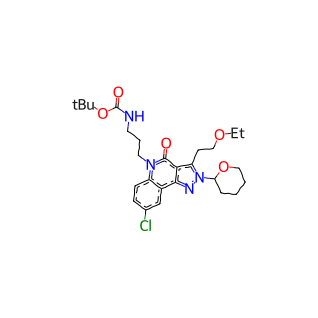 CCOCCc1c2c(=O)n(CCCNC(=O)OC(C)(C)C)c3ccc(Cl)cc3c2nn1C1CCCCO1